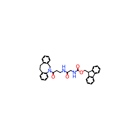 O=C(CNC(=O)OCC1c2ccccc2-c2ccccc21)NCCC(=O)N1Cc2ccccc2CCc2ccccc21